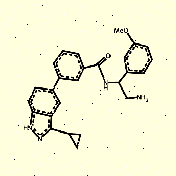 COc1cccc(C(CN)NC(=O)c2cccc(-c3ccc4[nH]nc(C5CC5)c4c3)c2)c1